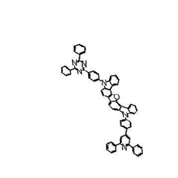 c1ccc(-c2cc(-c3ccc(-n4c5ccccc5c5c6oc7c(ccc8c7c7ccccc7n8-c7ccc(-c8nc(-c9ccccc9)nc(-c9ccccc9)n8)cc7)c6ccc54)cc3)cc(-c3ccccc3)n2)cc1